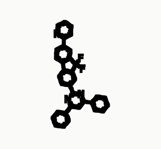 FC1(F)c2cc(-c3ccccn3)ccc2-c2ccc(-c3nc(-c4ccccc4)cc(-c4ccccc4)n3)cc21